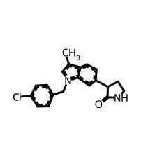 Cc1cn(Cc2ccc(Cl)cc2)c2cc(C3CCNC3=O)ccc12